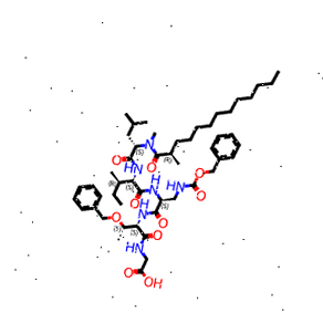 CCCCCCCCCCC[C@@H](C)C(=O)N(C)[C@@H](CC(C)C)C(=O)N[C@H](C(=O)N[C@@H](CNC(=O)OCc1ccccc1)C(=O)N[C@H](C(=O)NCC(=O)O)[C@H](C)OCc1ccccc1)[C@H](C)CC